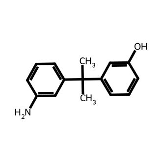 CC(C)(c1cccc(N)c1)c1cccc(O)c1